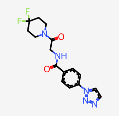 O=C(NCC(=O)N1CCC(F)(F)CC1)c1ccc(-n2ccnn2)cc1